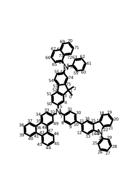 CC1(C)c2cc(N(c3ccc(-c4ccc5c(c4)c4ccccc4n5-c4ccccc4)cc3)c3ccc4c5ccccc5c5ccccc5c4c3)ccc2-c2ccc(N(c3ccccc3)c3cccc4ccccc34)cc21